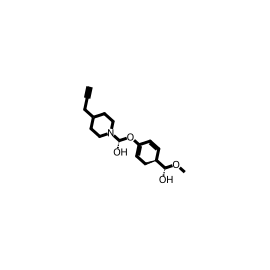 C#CCC1CCN([C@@H](O)OC2=CC[C@H]([C@@H](O)OC)C=C2)CC1